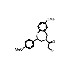 COc1ccc(C2CN(C(=O)CBr)Cc3cc(OC)ccc3S2)cc1